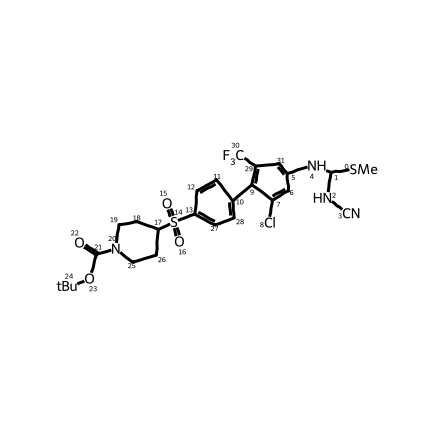 CSC(NC#N)Nc1cc(Cl)c(-c2ccc(S(=O)(=O)C3CCN(C(=O)OC(C)(C)C)CC3)cc2)c(C(F)(F)F)c1